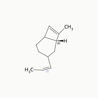 C/C=C\C1CCC2C=C(C)[C@@H]2C1